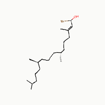 C/C(=C\C(O)Br)CCC[C@H](C)CCC[C@H](C)CCCC(C)C